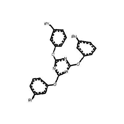 CCC(C)c1cccc(Oc2nc(Oc3cccc(C(C)C)c3)nc(Oc3cccc(C(C)C)c3)n2)c1